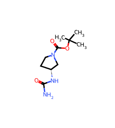 CC(C)(C)OC(=O)N1CC[C@@H](NC(N)=O)C1